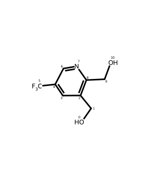 OCc1cc(C(F)(F)F)cnc1CO